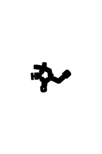 C#CCN1CC(C)(C)NC1=O